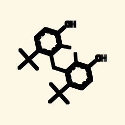 Cc1c(O)ccc(C(C)(C)C)c1Cc1c(C(C)(C)C)ccc(O)c1C